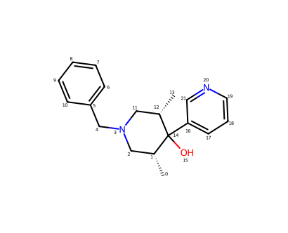 C[C@@H]1CN(Cc2ccccc2)C[C@H](C)C1(O)c1cccnc1